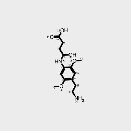 COc1cc(NC(O)CCC(=O)O)c(OC)cc1CCN